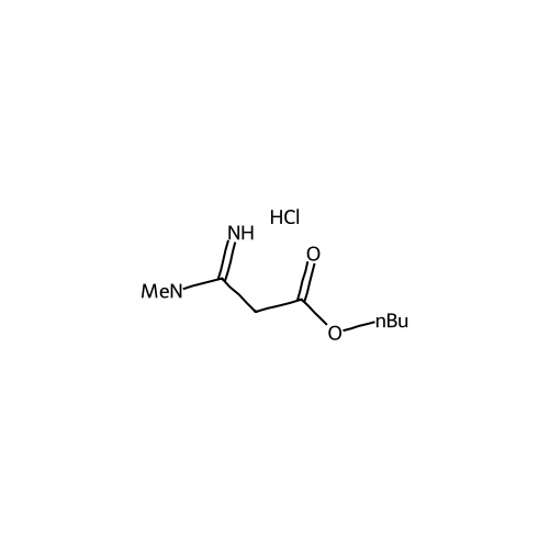 CCCCOC(=O)CC(=N)NC.Cl